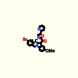 COc1ccc2c(c1)C(C(=O)c1ncc(-c3ccccn3)o1)C(C)N2Cc1ccc(Br)cc1